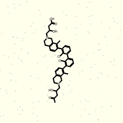 CC(=O)CC(O)CN1CCc2ccc(-c3cccc(-c4cccc(-c5ccc6c(c5C)CN(CC(O)CC(=O)O)CC6)c4Cl)c3Cl)c(C)c2C1